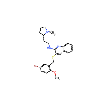 COc1ccc(Br)cc1CSc1cc2ccccc2nc1NCCC1CCCN1C